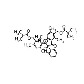 C=C(C)C(=O)OCc1c(C)cc(C)c(C(=O)P(=O)(C(=O)c2c(C)cc(C)c(COC(=O)C(=C)C)c2C)c2ccccc2)c1C